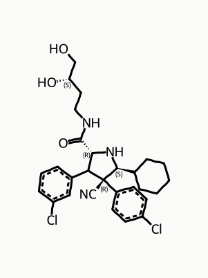 N#C[C@@]1(c2ccc(Cl)cc2)C(c2cccc(Cl)c2)[C@H](C(=O)NCC[C@H](O)CO)N[C@H]1C1CCCCC1